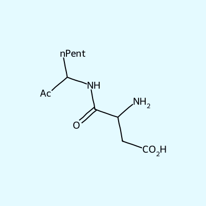 CCCCCC(NC(=O)C(N)CC(=O)O)C(C)=O